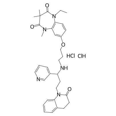 CCN1C(=O)C(C)(C)C(=O)N(C)c2cc(OCCCNC(CCN3C(=O)CCc4ccccc43)c3cccnc3)ccc21.Cl.Cl